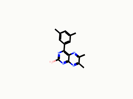 Bc1nc(-c2cc(C)cc(C)c2)c2nc(C)c(C)nc2n1